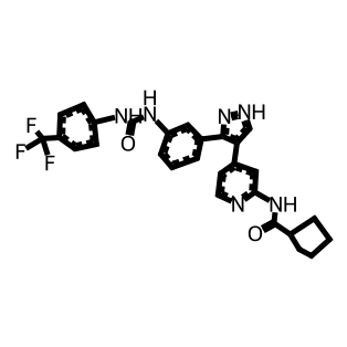 O=C(Nc1ccc(C(F)(F)F)cc1)Nc1cccc(-c2n[nH]cc2-c2ccnc(NC(=O)C3CCCC3)c2)c1